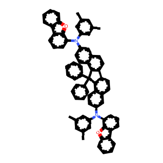 Cc1cc(C)cc(N(c2ccc3c4c(ccc3c2)-c2ccc3cc(N(c5cc(C)cc(C)c5)c5cccc6c5oc5ccccc56)ccc3c2C4(c2ccccc2)c2ccccc2)c2cccc3c2oc2ccccc23)c1